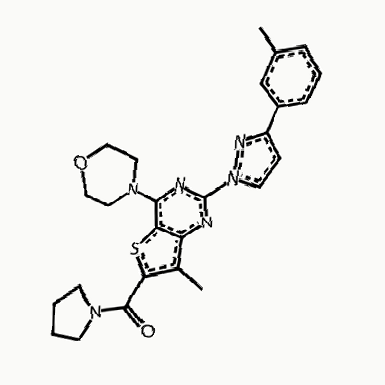 Cc1cccc(-c2ccn(-c3nc(N4CCOCC4)c4sc(C(=O)N5CCCC5)c(C)c4n3)n2)c1